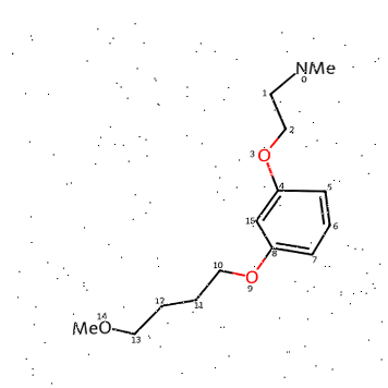 CNCCOc1cccc(OCCCCOC)c1